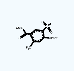 CCCCCc1cc(C(F)(F)F)c(C(=O)OC)cc1S(C)(=O)=O